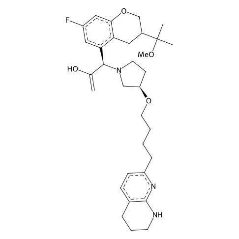 C=C(O)[C@@H](c1cc(F)cc2c1CC(C(C)(C)OC)CO2)N1CC[C@@H](OCCCCc2ccc3c(n2)NCCC3)C1